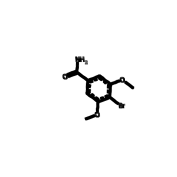 COc1cc(C(N)=O)cc(OC)c1Br